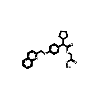 CC(C)(C)OC(=O)COC(=O)C(c1ccc(OCc2ccc3ccccc3n2)cc1)C1CCCC1